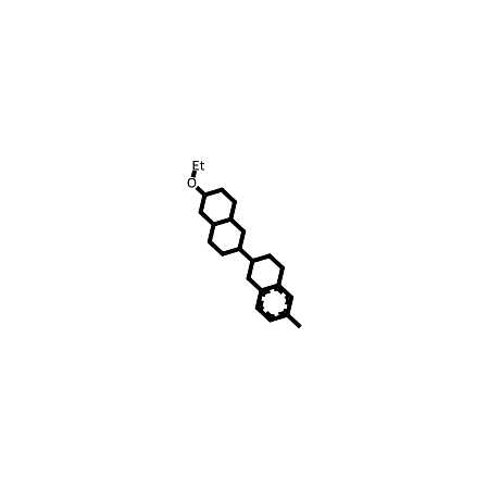 CCOC1CCC2CC(C3CCc4cc(C)ccc4C3)CCC2C1